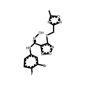 Cc1nc(CSc2nonc2/C(=N\O)Nc2ccc(F)c(Br)c2)no1